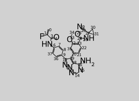 C=C(F)C(=O)Nc1ccc(-c2nn3ncnc(N)c3c2-c2ccc(C(=O)NC3(C#N)CC3)c(OC)c2)cc1